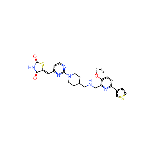 COc1ccc(-c2ccsc2)nc1CNCC1CCN(c2nccc(/C=C3\SC(=O)NC3=O)n2)CC1